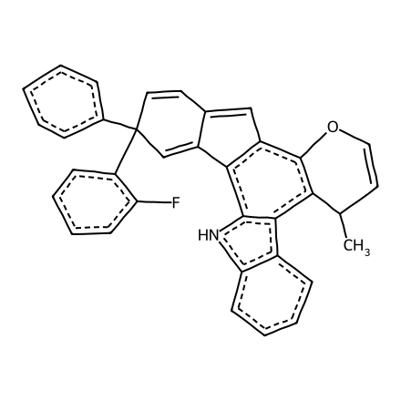 CC1C=COc2c3c(c4[nH]c5ccccc5c4c21)C1=CC(c2ccccc2)(c2ccccc2F)C=CC1=C3